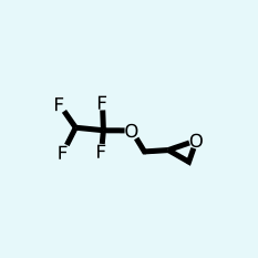 FC(F)C(F)(F)OCC1CO1